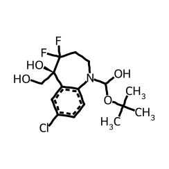 CC(C)(C)OC(O)N1CCC(F)(F)[C@@](O)(CO)c2cc(Cl)ccc21